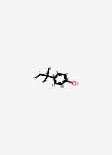 CCC(C)(C)c1ccc([O])cc1